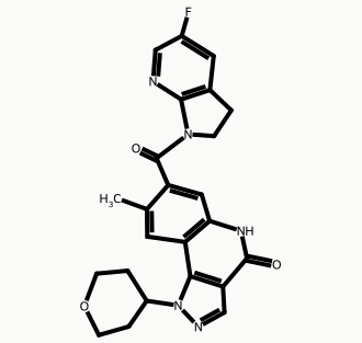 Cc1cc2c(cc1C(=O)N1CCc3cc(F)cnc31)[nH]c(=O)c1cnn(C3CCOCC3)c12